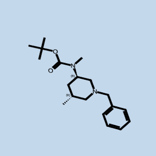 C[C@@H]1C[C@@H](N(C)C(=O)OC(C)(C)C)CN(Cc2ccccc2)C1